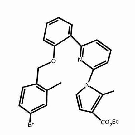 CCOC(=O)c1ccn(-c2cccc(-c3ccccc3OCc3ccc(Br)cc3C)n2)c1C